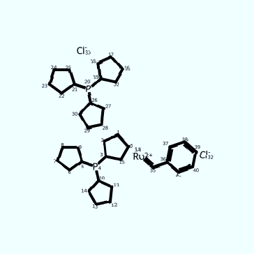 C1CCC(P(C2CCCC2)C2CCCC2)C1.C1CCC(P(C2CCCC2)C2CCCC2)C1.[Cl-].[Cl-].[Ru+2]=[CH]c1ccccc1